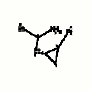 CCC(N)CC.CCC1CC1